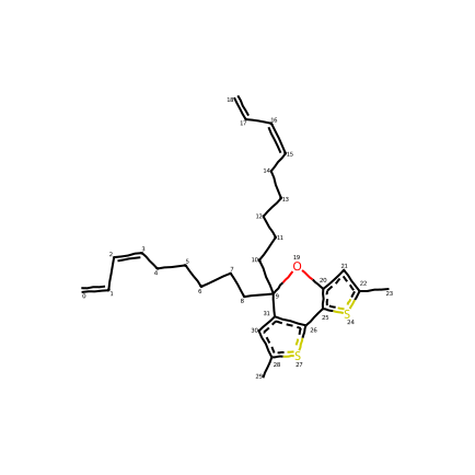 C=C/C=C\CCCCCC1(CCCCC/C=C\C=C)Oc2cc(C)sc2-c2sc(C)cc21